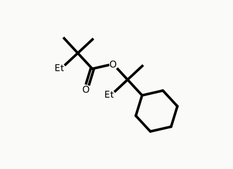 CCC(C)(C)C(=O)OC(C)(CC)C1CCCCC1